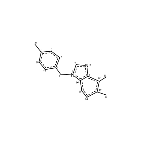 Cc1ccc(Cn2cnc3c(C)c(C)ccc32)cc1